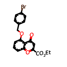 CCOC(=O)c1cc(=O)c2c(OCc3ccc(Br)cc3)cccc2o1